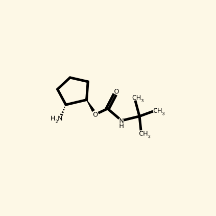 CC(C)(C)NC(=O)O[C@@H]1CCC[C@H]1N